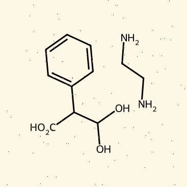 NCCN.O=C(O)C(c1ccccc1)C(O)O